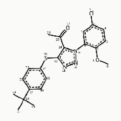 COc1ccc(Cl)cc1-n1nnc(Sc2ccc(C(C)(C)C)cc2)c1C(C)=O